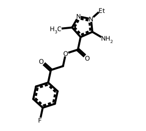 CCn1nc(C)c(C(=O)OCC(=O)c2ccc(F)cc2)c1N